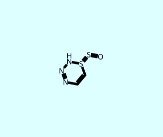 O=S=S1C=CN=NN1